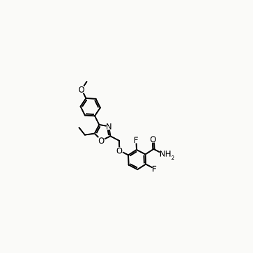 CCc1oc(COc2ccc(F)c(C(N)=O)c2F)nc1-c1ccc(OC)cc1